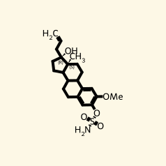 C=CC[C@]1(O)CCC2C3CCc4cc(OS(N)(=O)=O)c(OC)cc4C3CC[C@@]21C